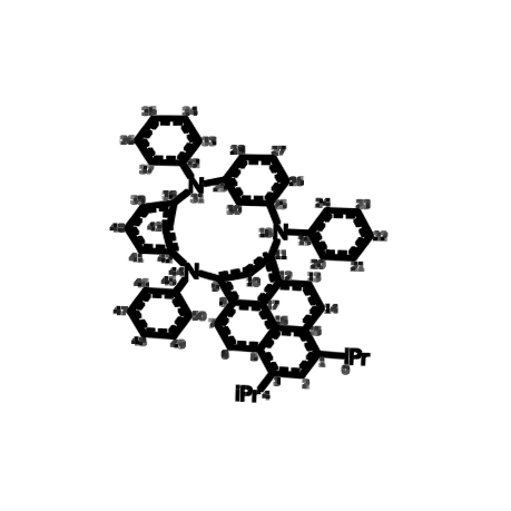 CC(C)c1cc(C(C)C)c2ccc3c4cc(c5ccc1c2c53)N(c1ccccc1)c1cccc(c1)N(c1ccccc1)c1cccc(c1)N4c1ccccc1